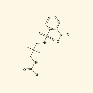 CC(C)(CNC(=O)O)CNS(=O)(=O)c1ccccc1[N+](=O)[O-]